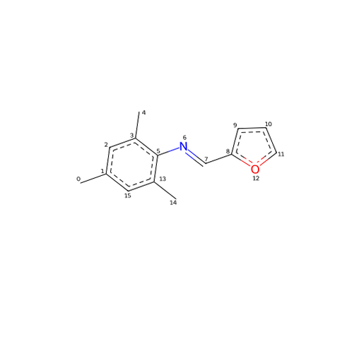 Cc1cc(C)c(/N=C/c2ccco2)c(C)c1